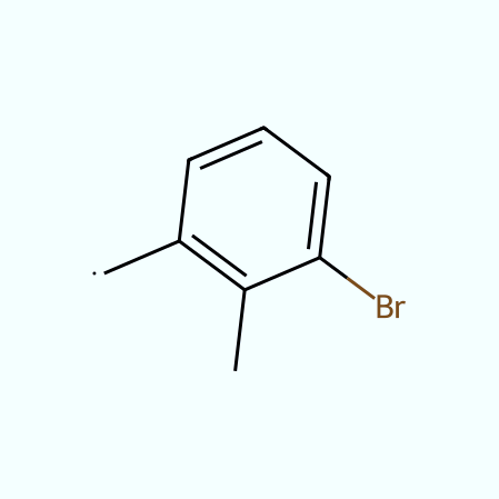 [CH2]c1cccc(Br)c1C